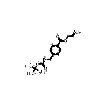 C=CCOC(=O)c1ccc(CNC(=O)OC(C)(C)C)cc1